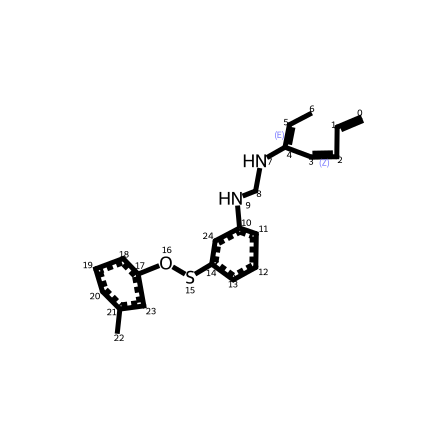 C=C/C=C\C(=C/C)NCNc1cccc(SOc2cccc(C)c2)c1